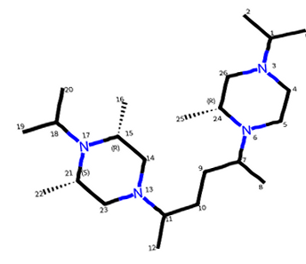 CC(C)N1CCN(C(C)CCC(C)N2C[C@@H](C)N(C(C)C)[C@@H](C)C2)[C@H](C)C1